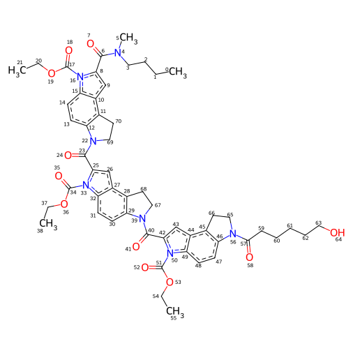 CCCCN(C)C(=O)c1cc2c3c(ccc2n1C(=O)OCC)N(C(=O)c1cc2c4c(ccc2n1C(=O)OCC)N(C(=O)c1cc2c5c(ccc2n1C(=O)OCC)N(C(=O)CCCCCO)CC5)CC4)CC3